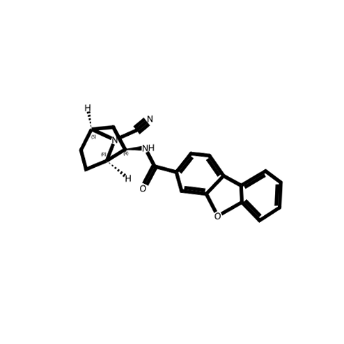 N#CN1[C@H]2CC[C@@H]1[C@H](NC(=O)c1ccc3c(c1)oc1ccccc13)C2